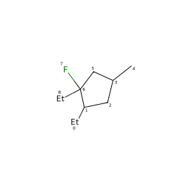 CCC1CC(C)CC1(F)CC